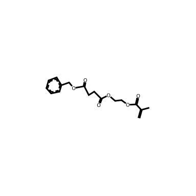 C=C(C)C(=O)OCCOC(=O)CCC(=O)OCc1ccccc1